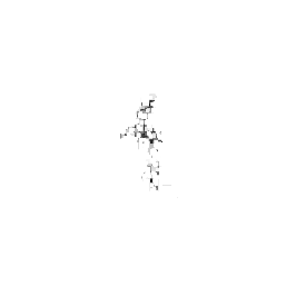 NC(=O)CN1CCC(CNc2ncnc(N3CC(F)CC3c3ccc(C(F)(F)F)cc3)c2F)CC1